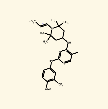 COc1ccc(Nc2ncc(F)c(NC3CC(C)(C)N(/C=C/C(=O)O)C(C)(C)C3)n2)cc1C(F)(F)F